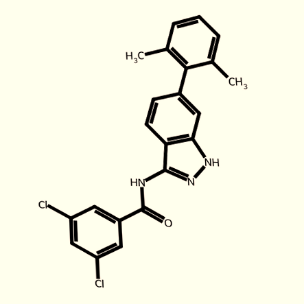 Cc1cccc(C)c1-c1ccc2c(NC(=O)c3cc(Cl)cc(Cl)c3)n[nH]c2c1